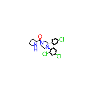 O=C(C1CCCCN1)N1CCN(c2ccc(Cl)cc2Cl)[C@H](c2ccc(Cl)cc2)C1